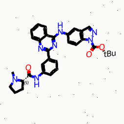 CN1CCC[C@H]1C(=O)Nc1cccc(-c2nc(Nc3ccc4c(cnn4C(=O)OC(C)(C)C)c3)c3ccccc3n2)c1